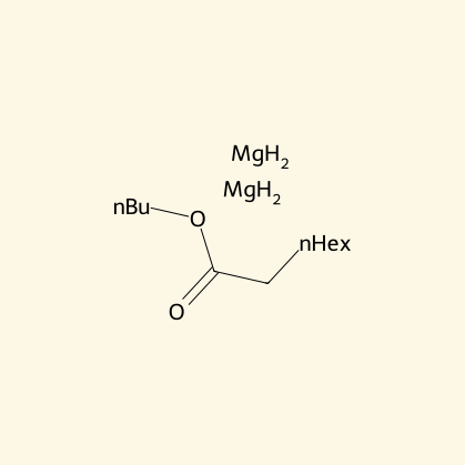 CCCCCCCC(=O)OCCCC.[MgH2].[MgH2]